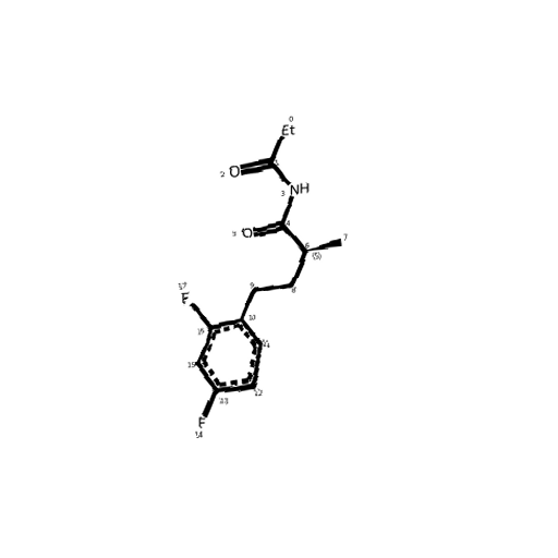 CCC(=O)NC(=O)[C@@H](C)CCc1ccc(F)cc1F